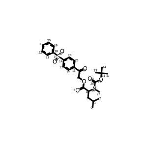 CC(C)CC(C(=O)OCC(=O)c1ccc(S(=O)(=O)c2ccccc2)cc1)N(C)C(=O)OC(C)(C)C